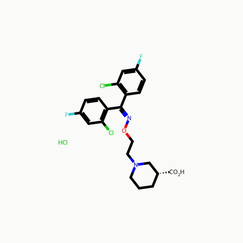 Cl.O=C(O)[C@@H]1CCCN(CCON=C(c2ccc(F)cc2Cl)c2ccc(F)cc2Cl)C1